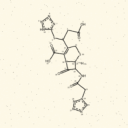 O=C(O)CC(Sc1nnn[nH]1)C1=C(C(=O)O)N2C(=O)C(NC(=O)Cn3cnnn3)[C@@H]2SC1